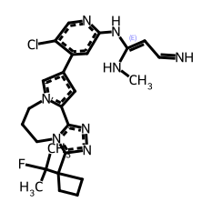 CN/C(=C\C=N)Nc1cc(-c2cc3n(c2)CCCn2c-3nnc2C2(C(C)(C)F)CCC2)c(Cl)cn1